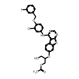 O=C(OCC(CO)Oc1ccc2c(c1)sc1ncnc(Nc3ccc(OCc4cccc(F)c4)c(Cl)c3)c12)C(F)(F)F